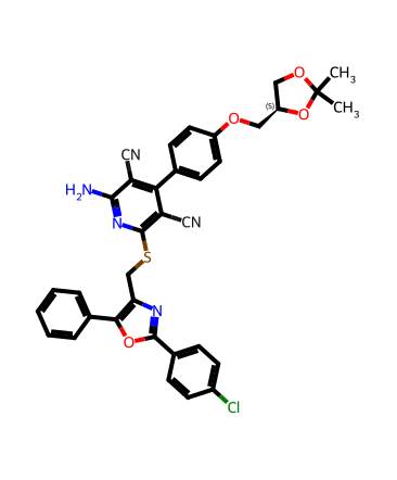 CC1(C)OC[C@H](COc2ccc(-c3c(C#N)c(N)nc(SCc4nc(-c5ccc(Cl)cc5)oc4-c4ccccc4)c3C#N)cc2)O1